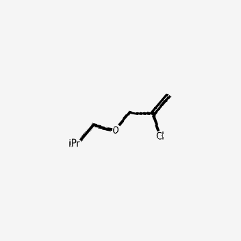 C=C(Cl)COCC(C)C